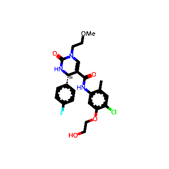 COCCN1C=C(C(=O)Nc2cc(OCCO)c(Cl)cc2C)[C@H](c2ccc(F)cc2)NC1=O